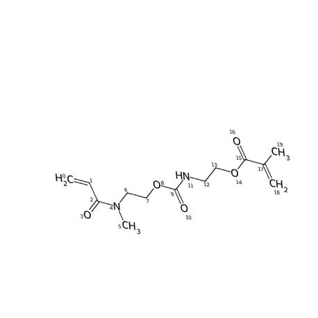 C=CC(=O)N(C)CCOC(=O)NCCOC(=O)C(=C)C